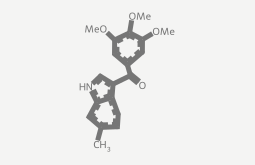 COc1cc(C(=O)c2c[nH]c3cc(C)ccc23)cc(OC)c1OC